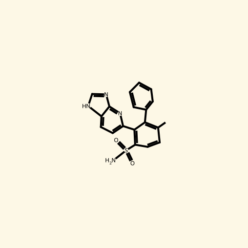 Cc1ccc(S(N)(=O)=O)c(-c2ccc3[nH]cnc3n2)c1-c1ccccc1